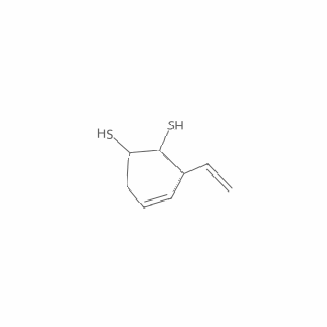 C=CC1C=CCC(S)C1S